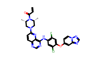 C=CC(=O)N1[C@H](C)CN(c2ccc3ncnc(Nc4cc(Cl)c(Oc5ccn6ncnc6c5)cc4F)c3n2)C[C@@H]1C